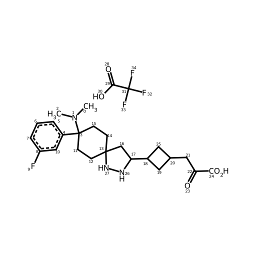 CN(C)C1(c2cccc(F)c2)CCC2(CC1)CC(C1CC(CC(=O)C(=O)O)C1)NN2.O=C(O)C(F)(F)F